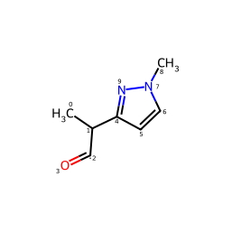 CC([C]=O)c1ccn(C)n1